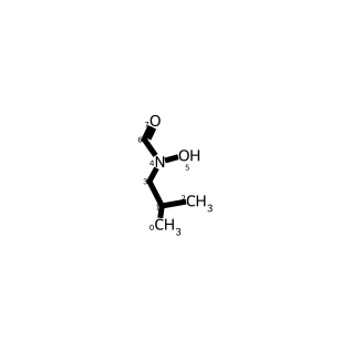 CC(C)CN(O)C=O